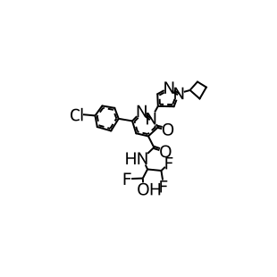 O=C(NC(C(O)F)C(F)F)c1cc(-c2ccc(Cl)cc2)nn(-c2cnn(C3CCC3)c2)c1=O